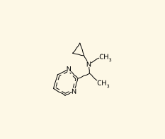 CC(c1ncccn1)N(C)C1CC1